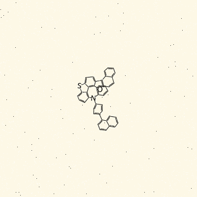 c1ccc(N(c2ccc(-c3cccc4ccccc34)cc2)c2cccc3sc4ccc5c(oc6ccc7ccccc7c65)c4c23)cc1